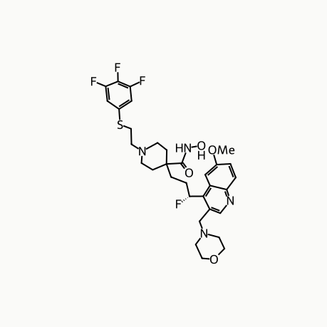 COc1ccc2ncc(CN3CCOCC3)c([C@H](F)CCC3(C(=O)NO)CCN(CCSc4cc(F)c(F)c(F)c4)CC3)c2c1